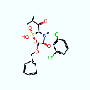 CC(C)C(=O)C(N(C)C(=O)COCc1ccccc1)S(=O)(=O)O.Clc1cccc(Cl)c1